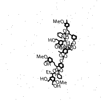 CCC(C(=O)N1CCCCC1C(=O)OC(CCc1ccc(OC)c(CO)c1)c1cccc(OCC(=O)OC(C)c2ccc(C(C)OC(=O)COc3cccc(C(CCc4ccc(C)c(OC)c4)OC(=O)C4CCCCN4C(=O)C(CC)c4cc(CO)c(CO)c(OC)c4)c3)c([N+](=O)[O-])c2)c1)c1cc(CO)c(CO)c(OC)c1